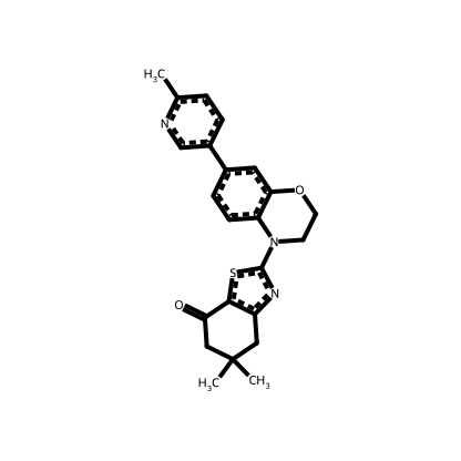 Cc1ccc(-c2ccc3c(c2)OCCN3c2nc3c(s2)C(=O)CC(C)(C)C3)cn1